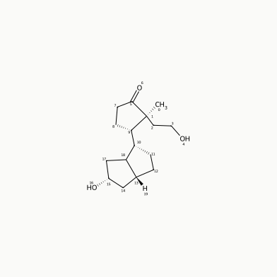 C[C@@]1(CCO)C(=O)CC[C@H]1[C@@H]1CC[C@@H]2C[C@H](O)CC21